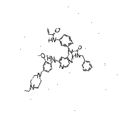 C=CC(=O)Nc1cccc(N(C(=O)NCc2ccccc2)c2cc(Nc3ccc(N4CCN(CC)CC4)cc3OC)ncn2)c1